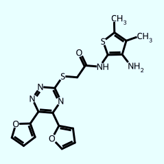 Cc1sc(NC(=O)CSc2nnc(-c3ccco3)c(-c3ccco3)n2)c(N)c1C